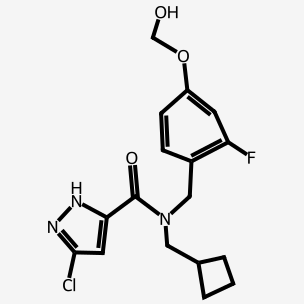 O=C(c1cc(Cl)n[nH]1)N(Cc1ccc(OCO)cc1F)CC1CCC1